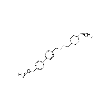 C=CC1CCC(CCCCc2ccc(-c3ccc(COC)cc3)cc2)CC1